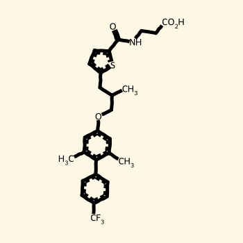 Cc1cc(OCC(C)Cc2ccc(C(=O)NCCC(=O)O)s2)cc(C)c1-c1ccc(C(F)(F)F)cc1